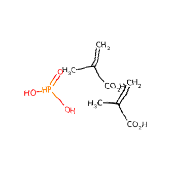 C=C(C)C(=O)O.C=C(C)C(=O)O.O=[PH](O)O